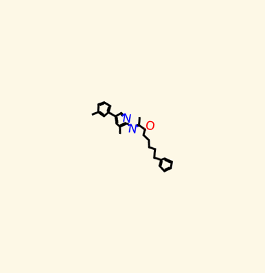 C/C(=N\c1ncc(-c2cccc(C)c2)cc1C)C(=O)CCCCCc1ccccc1